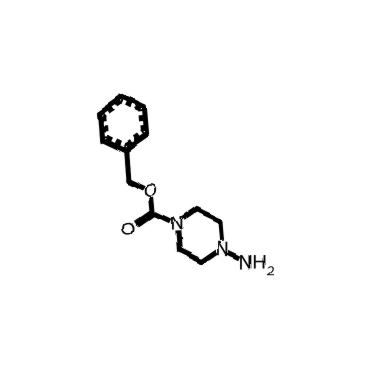 NN1CCN(C(=O)OCc2ccccc2)CC1